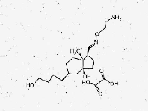 C[C@]12CC[C@H](CCCCO)C[C@@]1(O)CC[C@@H]2/C=N/OCCN.O=C(O)C(=O)O